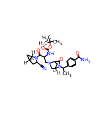 CC(c1ccc(C(N)=O)cc1)N1C(=O)C2C[C@H]1CN2CC(NC(=O)OC(C)(C)C)C(=O)N1C(C#N)C[C@@H]2C[C@@H]21